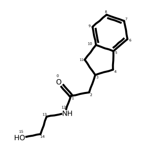 O=C(CC1Cc2ccccc2C1)NCCO